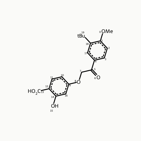 COc1ccc(C(=O)COc2ccc(C(=O)O)c(O)c2)cc1C(C)(C)C